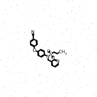 CCCS(=O)(=O)N(Cc1cccnc1)c1ccc(Oc2ccc(C#N)cc2)cc1